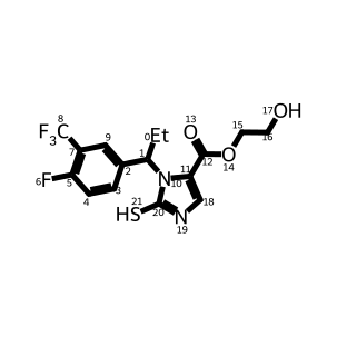 CCC(c1ccc(F)c(C(F)(F)F)c1)n1c(C(=O)OCCO)cnc1S